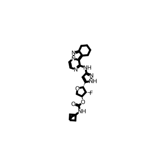 O=C(NC12CC(C1)C2)O[C@@H]1CO[C@H](c2cc(Nc3nccn4nc5c(c34)CCCC5)n[nH]2)[C@@H]1F